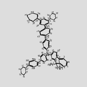 CCCC1(CCC)c2ccccc2-c2ccc(N(c3ccc(-c4ccc(-c5cc(C6CCCCC6)cc(C6CCCCC6)c5)cc4)cc3)c3ccc(-c4ccc(C5CCCCC5)cc4)cc3)cc21